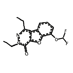 CCc1nn(CC)c(=O)c2oc3c(OC(F)F)cccc3c12